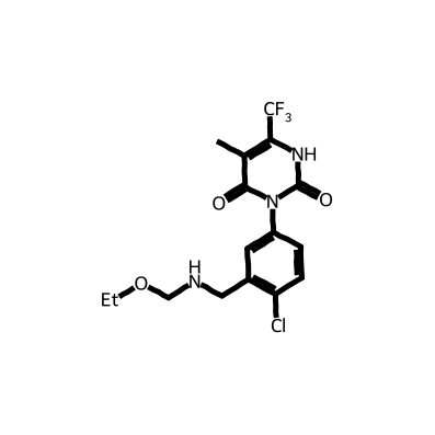 CCOCNCc1cc(-n2c(=O)[nH]c(C(F)(F)F)c(C)c2=O)ccc1Cl